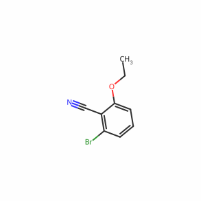 CCOc1cccc(Br)c1C#N